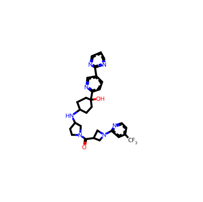 O=C(C1CN(c2cc(C(F)(F)F)ccn2)C1)N1CCC(NC2CCC(O)(c3ccc(-c4ncccn4)cn3)CC2)C1